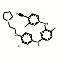 Cc1cnc(Nc2ccc(OCCN3CCCC3)cc2)nc1Nc1ccc(C#N)c(Cl)c1.Cl